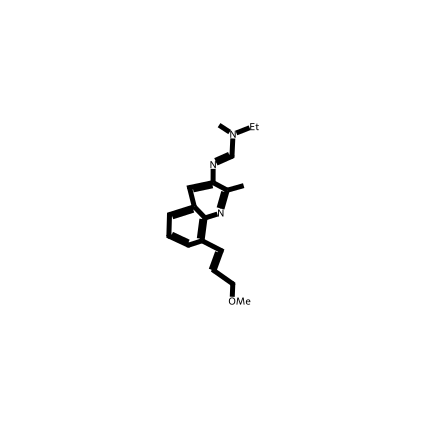 CCN(C)/C=N/c1cc2cccc(/C=C/COC)c2nc1C